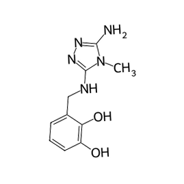 Cn1c(N)nnc1NCc1cccc(O)c1O